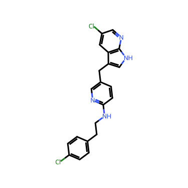 Clc1ccc(CCNc2ccc(Cc3c[nH]c4ncc(Cl)cc34)cn2)cc1